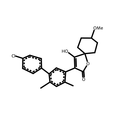 COC1CCC2(CC1)OC(=O)C(c1cc(-c3ccc(Cl)cc3)c(C)cc1C)=C2O